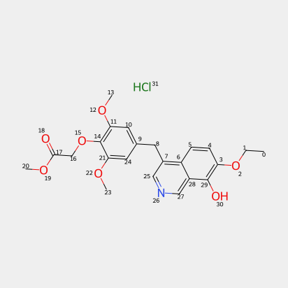 CCOc1ccc2c(Cc3cc(OC)c(OCC(=O)OC)c(OC)c3)cncc2c1O.Cl